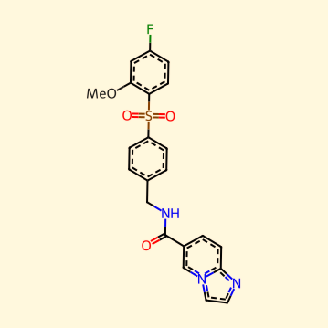 COc1cc(F)ccc1S(=O)(=O)c1ccc(CNC(=O)c2ccc3nccn3c2)cc1